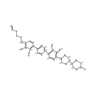 C=CCCCOc1ccc(-c2ccc(-c3ccc(C4CCC(C5CCC(C)CC5)CC4)c(F)c3F)cc2)c(F)c1F